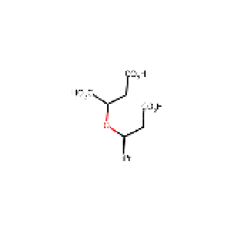 CC(C)C(CC(=O)O)OC(CC(=O)O)C(=O)O